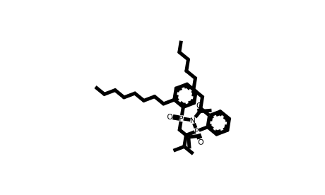 CCCCCCCCc1ccccc1P(=O)(CC(C)C)N(C(C)=O)P(=O)(CC(C)C)c1ccccc1CCCCCCCC